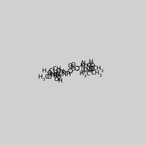 COC(=O)N[C@H](C(=O)N1[C@H](c2ncc(-c3ccc4c(c3)S(=O)(=O)c3cc(-c5cnc([C@@H]6C[C@H]7CCC[C@H]7N6C(=O)[C@@H](C)[C@@H](C)OC)[nH]5)ccc3-4)[nH]2)C[C@@H]2CCC[C@@H]21)C(C)C